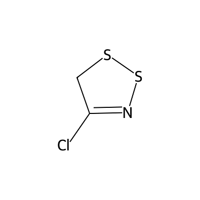 ClC1=NSSC1